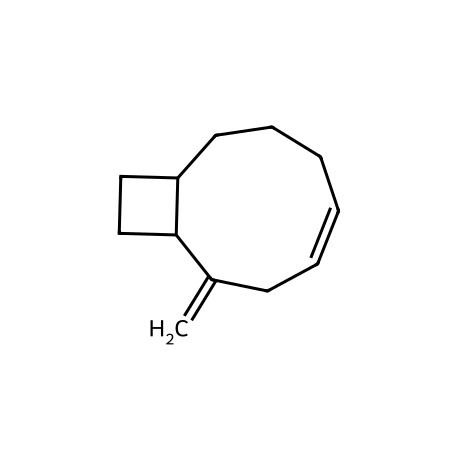 C=C1CC=CCCCC2CCC12